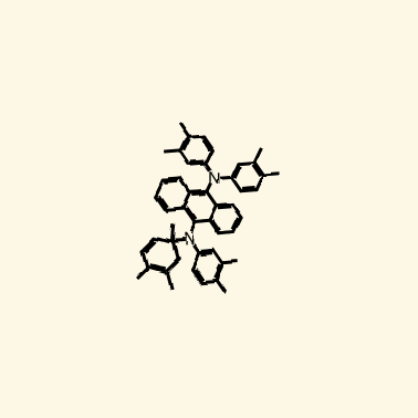 CC1=C(C)CC(C)(N(c2ccc(C)c(C)c2)c2c3ccccc3c(N(c3ccc(C)c(C)c3)c3ccc(C)c(C)c3)c3ccccc23)C=C1